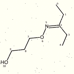 CCC(CC)=NOCCCO